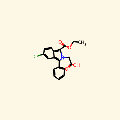 CCOC(=O)c1c2ccc(Cl)cc2c(-c2ccccc2)n1CC(=O)O